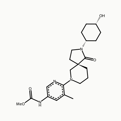 COC(=O)Nc1cnc(N2CCC[C@]3(CCN([C@H]4CC[C@@H](O)CC4)C3=O)C2)c(C)c1